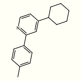 Cc1ccc(-c2cc(C3CCCCC3)ccn2)cc1